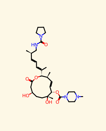 C/C(=C\C=C\[C@@H](C)CNC(=O)N1CCCC1)[C@H]1OC(=O)C[C@H](O)CC[C@@](C)(O)[C@@H](OC(=O)N2CCN(C)CC2)/C=C/[C@@H]1C